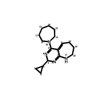 C1=C2C(=NC(C3CC3)N=C2N2CCCCCC2)NCCC1